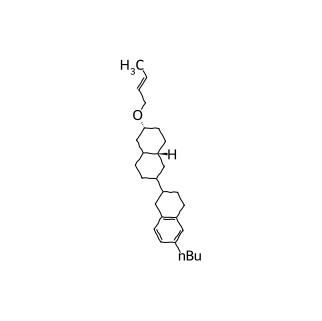 C/C=C/CO[C@@H]1CC[C@@H]2CC(C3CCc4cc(CCCC)ccc4C3)CCC2C1